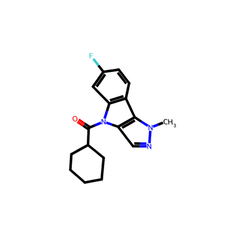 Cn1ncc2c1c1ccc(F)cc1n2C(=O)C1CCCCC1